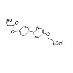 CCCCCCCCCCCCOc1ccc(-c2ccc(OC(=O)CC(C)CC)cc2)nc1